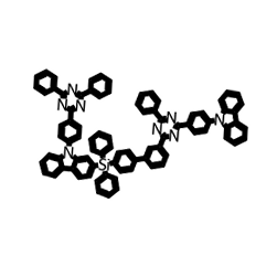 c1ccc(-c2nc(-c3ccccc3)nc(-c3ccc(-n4c5ccccc5c5ccc([Si](c6ccccc6)(c6ccccc6)c6ccc(-c7cccc(-c8nc(-c9ccccc9)nc(-c9ccc(-n%10c%11ccccc%11c%11ccccc%11%10)cc9)n8)c7)cc6)cc54)cc3)n2)cc1